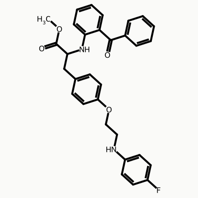 COC(=O)C(Cc1ccc(OCCNc2ccc(F)cc2)cc1)Nc1ccccc1C(=O)c1ccccc1